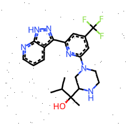 CC(C)C(C)(O)C1CN(c2cc(C(F)(F)F)cc(-c3n[nH]c4ncccc34)n2)CCN1